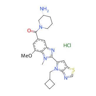 COc1cc(C(=O)N2CCC[C@@H](N)C2)cc2nc(-c3cc4scnc4n3CC3CCC3)n(C)c12.Cl